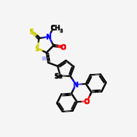 CN1C(=O)/C(=C\c2ccc(N3c4ccccc4Oc4ccccc43)[se]2)SC1=S